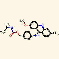 COc1ccc2nc3cc(C)ccc3c(Nc3ccc(COC(=O)NC(C)C)cc3)c2c1